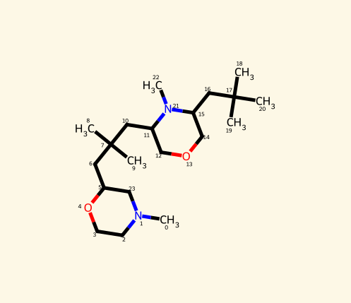 CN1CCOC(CC(C)(C)CC2COCC(CC(C)(C)C)N2C)C1